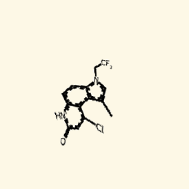 Cc1cn(CC(F)(F)F)c2ccc3[nH]c(=O)cc(Cl)c3c12